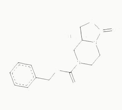 O=C(OCc1ccccc1)N1CCN2[C@H](COS2=O)C1